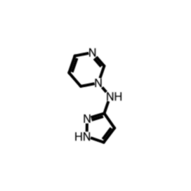 C1=CN=CN(Nc2cc[nH]n2)C1